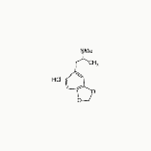 CN[C@H](C)Cc1ccc2c(c1)OCO2.Cl